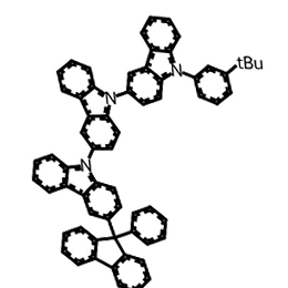 CC(C)(C)c1cccc(-n2c3ccccc3c3cc(-n4c5ccccc5c5cc(-n6c7ccccc7c7cc(C8(c9ccccc9)c9ccccc9-c9ccccc98)ccc76)ccc54)ccc32)c1